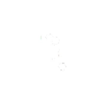 O=C(OC=Cc1ccc2ccc(Cl)cc2n1)c1ccccc1